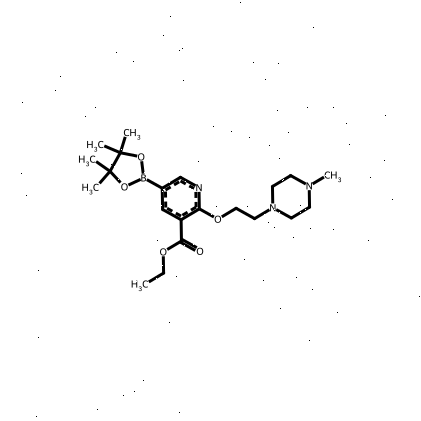 CCOC(=O)c1cc(B2OC(C)(C)C(C)(C)O2)cnc1OCCN1CCN(C)CC1